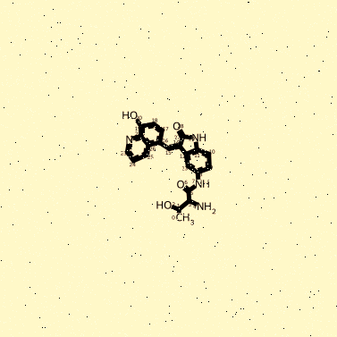 CC(O)C(N)C(=O)Nc1ccc2c(c1)C(=Cc1ccc(O)c3ncccc13)C(=O)N2